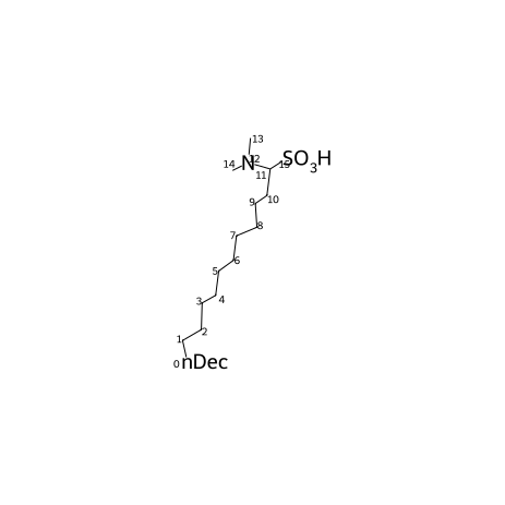 CCCCCCCCCCCCCCCCCCCCC(N(C)C)S(=O)(=O)O